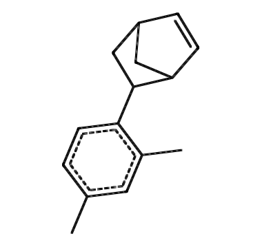 Cc1ccc(C2CC3C=CC2C3)c(C)c1